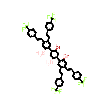 Bc1cc(-c2cc(/C=C/c3ccc(C(F)(F)F)cc3)c(/C=C/c3ccc(C(F)(F)F)cc3)cc2B)c(Br)cc1-c1cc(/C=C/c2ccc(C(F)(F)F)cc2)c(/C=C/c2ccc(C(F)(F)F)cc2)cc1Br